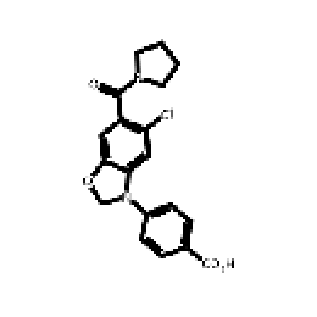 O=C(O)c1ccc(N2COc3cc(C(=O)N4CCCC4)c(Cl)cc32)cc1